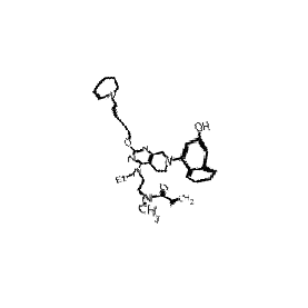 C=CC(=O)N(C)CCN(CC)c1nc(OCCCN2CCCCC2)nc2c1CCN(c1cc(O)cc3ccccc13)C2